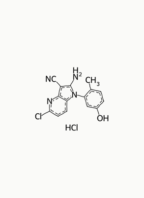 Cc1ccc(O)cc1-n1c(N)c(C#N)c2nc(Cl)ccc21.Cl